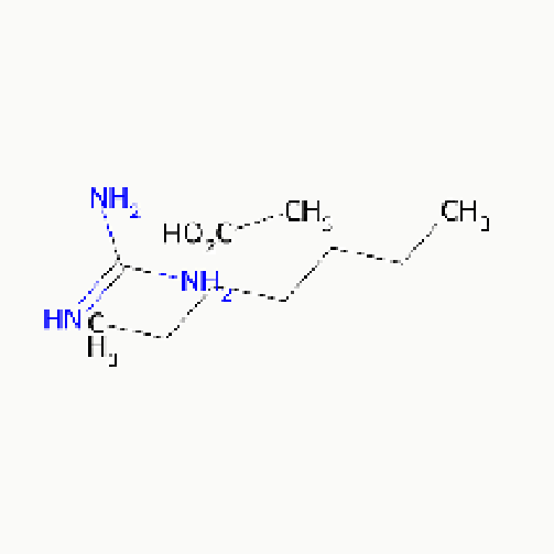 CC(=O)O.CCCCCCC.N=C(N)N